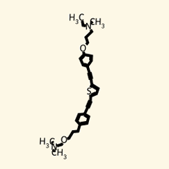 CCN(C)CCCOc1ccc(C#Cc2ccc(C#Cc3ccc(CCCOCN(C)C)cc3)s2)cc1